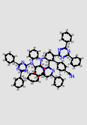 N#Cc1ccc(-c2c(-c3nc(-c4ccccc4)nc(-c4ccccc4)n3)ccc(N3c4ccccc4N(c4nc(-c5ccccc5)nc(-c5ccccc5)n4)c4ccccc43)c2-c2nc(-c3ccccc3)cc(-c3ccccc3)n2)cc1